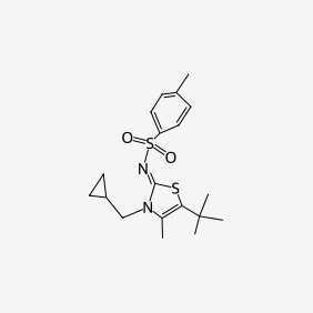 Cc1ccc(S(=O)(=O)/N=c2\sc(C(C)(C)C)c(C)n2CC2CC2)cc1